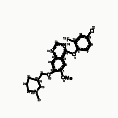 COc1cc2c(Oc3ccc(Cl)cc3F)ncnc2cc1OC[C@@H]1CCCN(C)C1